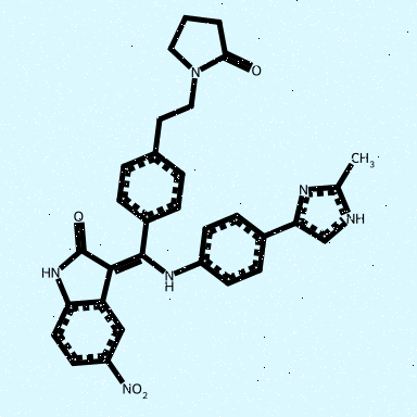 Cc1nc(-c2ccc(NC(=C3C(=O)Nc4ccc([N+](=O)[O-])cc43)c3ccc(CCN4CCCC4=O)cc3)cc2)c[nH]1